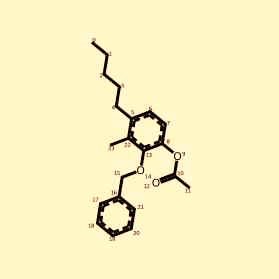 CCCCCc1ccc(OC(C)=O)c(OCc2ccccc2)c1C